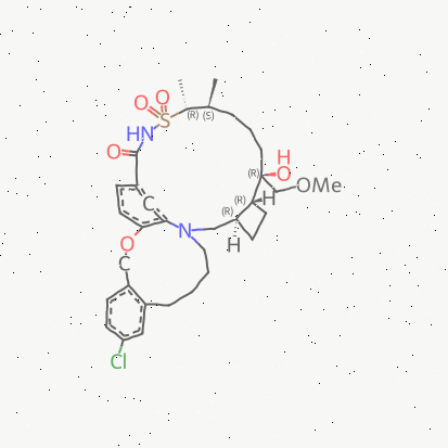 COC[C@@]1(O)CCC[C@H](C)[C@@H](C)S(=O)(=O)NC(=O)c2ccc3c(c2)N(CCCCc2cc(Cl)ccc2CO3)C[C@@H]2CC[C@H]21